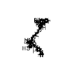 Cc1ncsc1-c1ccc(CNC(=O)[C@@H]2C[C@@H](O)CN2C(=O)[C@@H](NC(=O)CNCCCCCOc2cc(F)c(C3c4[nH]c5ccccc5c4C[C@@H](C)N3CC(C)(C)F)c(F)c2)C(C)(C)C)cc1